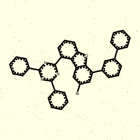 Brc1cc(-c2cccc(-c3ccccc3)c2)c2oc3cccc(-c4nc(-c5ccccc5)nc(-c5ccccc5)n4)c3c2c1